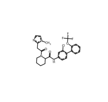 Cn1ccnc1CC(=O)N1CCCCC1C(=O)Nc1ccc(-c2ccccc2OC(F)(F)F)c(Cl)c1